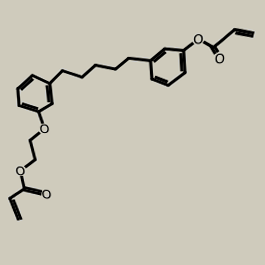 C=CC(=O)OCCOc1cccc(CCCCCc2cccc(OC(=O)C=C)c2)c1